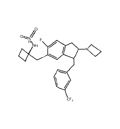 O=[SH](=O)NC1(Cc2cc3c(cc2F)CC(N2CCC2)C3Cc2cccc(C(F)(F)F)c2)CCC1